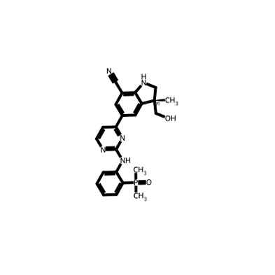 C[C@]1(CO)CNc2c(C#N)cc(-c3ccnc(Nc4ccccc4P(C)(C)=O)n3)cc21